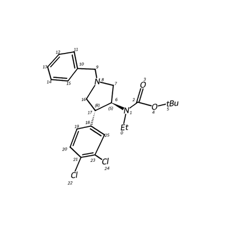 CCN(C(=O)OC(C)(C)C)[C@@H]1CN(Cc2ccccc2)C[C@H]1c1ccc(Cl)c(Cl)c1